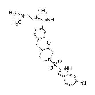 CN(C)CCN(C)C(=N)c1ccc(CN2CCN(S(=O)(=O)c3cc4ccc(Cl)cc4[nH]3)CC2=O)cc1